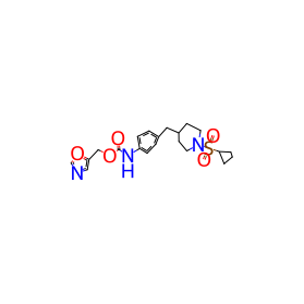 O=C(Nc1ccc(CC2CCN(S(=O)(=O)C3CCC3)CC2)cc1)OCc1cnco1